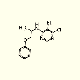 CCc1c(Cl)ncnc1NC(C)COc1ccccc1